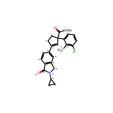 COC(=O)C1(c2cccc(F)c2C)C=C(c2ccc3c(c2)CN(C2CC2)C3=O)CC1